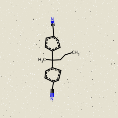 CCCC(C)(c1ccc(C#N)cc1)c1ccc(C#N)cc1